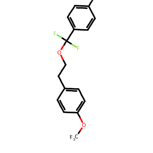 CCCCCCCCCCc1ccc(C(F)(F)OCCc2ccc(OC(F)(F)F)cc2)cc1